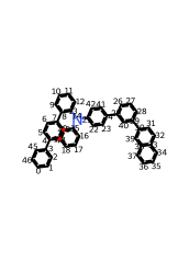 c1ccc(-c2ccc(-c3ccccc3N(c3ccccc3)c3ccc(-c4cccc(-c5ccc6ccccc6c5)c4)cc3)cc2)cc1